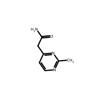 Cc1nccc(CC(N)=O)n1